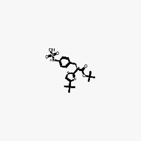 CC(C)(C)OC(=O)[C@H](Cc1ccc(NS(=O)(=O)O)cc1)c1nc(C(C)(C)C)cs1